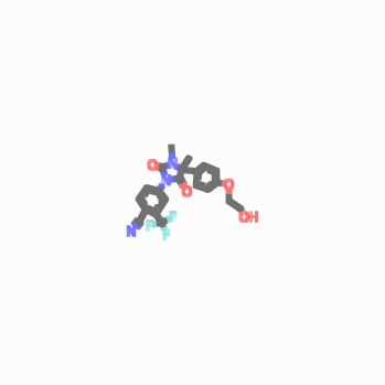 CN1C(=O)N(c2ccc(C#N)c(C(F)(F)F)c2)C(=O)C1(C)c1ccc(OCCO)cc1